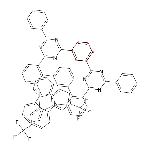 FC(F)(F)c1ccc2c(c1)c1ccccc1n2-c1cccc(-c2nc(-c3ccccc3)nc(-c3ccccc3)n2)c1-c1cccc(-c2c(-c3nc(-c4ccccc4)nc(-c4ccccc4)n3)cccc2-n2c3ccccc3c3cc(C(F)(F)F)ccc32)c1